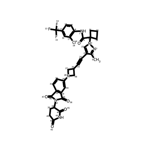 Cc1nn(C2(C(=O)Nc3ccc(C(F)(F)F)cc3Cl)CCC2)cc1C#CC1CN(c2ccc3c(c2)C(=O)N(C2CCC(=O)NC2=O)C3=O)C1